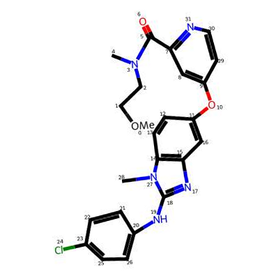 COCCN(C)C(=O)c1cc(Oc2ccc3c(c2)nc(Nc2ccc(Cl)cc2)n3C)ccn1